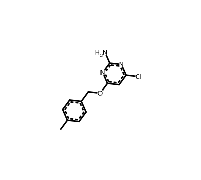 Cc1ccc(COc2cc(Cl)nc(N)n2)cc1